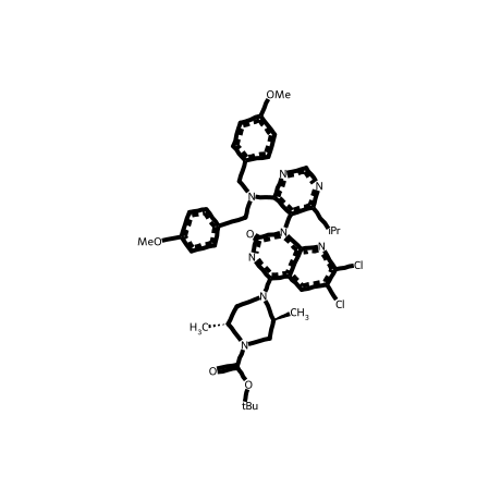 COc1ccc(CN(Cc2ccc(OC)cc2)c2ncnc(C(C)C)c2-n2c(=O)nc(N3C[C@@H](C)N(C(=O)OC(C)(C)C)C[C@@H]3C)c3cc(Cl)c(Cl)nc32)cc1